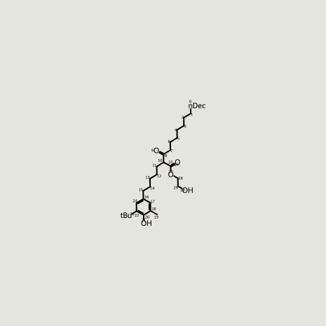 CCCCCCCCCCCCCCCCCC(=O)C(CCCCCc1cc(C)c(O)c(C(C)(C)C)c1)C(=O)OCCO